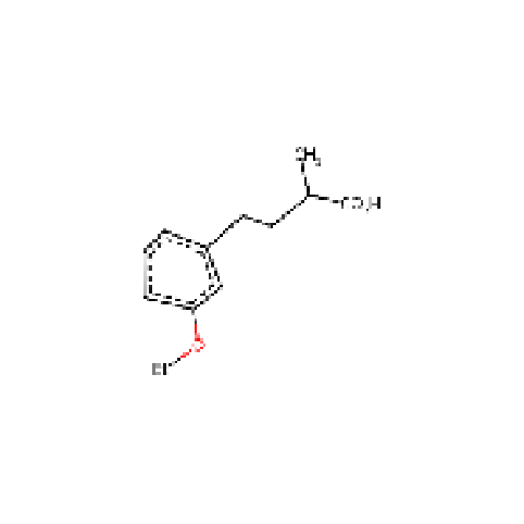 CCOc1cccc(CCC(C)C(=O)O)c1